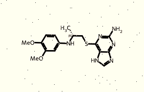 COc1ccc(N[C@H](C)CSc2nc(N)nc3nc[nH]c23)cc1OC